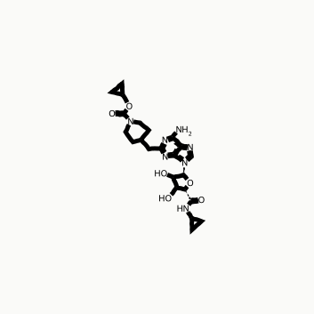 Nc1nc(CC2CCN(C(=O)OC3CC3)CC2)nc2c1ncn2[C@@H]1O[C@H](C(=O)NC2CC2)C(O)C1O